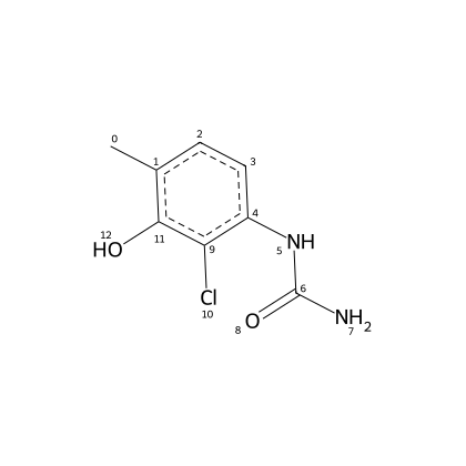 Cc1ccc(NC(N)=O)c(Cl)c1O